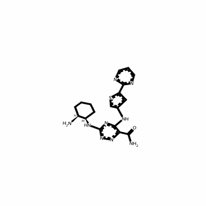 NC(=O)c1nnc(N[C@@H]2CCCC[C@@H]2N)nc1Nc1csc(-c2ncccn2)c1